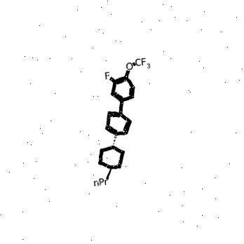 CCC[C@H]1CC[C@H](c2ccc(-c3ccc(OC(F)(F)F)c(F)c3)cc2)CC1